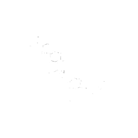 CCc1cc(CNC(=O)c2ccnc(NC(=O)C(C)C)c2)cnc1OCC(F)(F)F